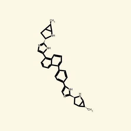 C[C@@H]1C2C[C@@H](c3ncc(-c4ccc(-c5cccc6c(-c7cnc([C@@H]8CC9C(N8)[C@@H]9C)[nH]7)cccc56)cc4)[nH]3)NC21